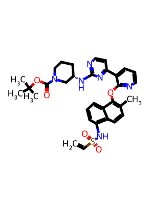 C=CS(=O)(=O)Nc1cccc2c(Oc3ncccc3-c3ccnc(N[C@H]4CCCN(C(=O)OC(C)(C)C)C4)n3)c(C)ccc12